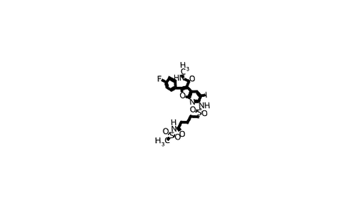 CNC(=O)c1c(-c2ccc(F)cc2)oc2nc(NS(=O)(=O)CCCCC(=O)NS(C)(=O)=O)c(I)cc12